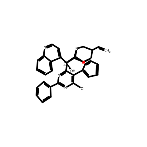 C=CC1CN2C(Nc3nc(-c4ccccc4)nc(Cl)c3-c3ccccc3)CC1CC2[C@@H](O)c1ccnc2ccccc12